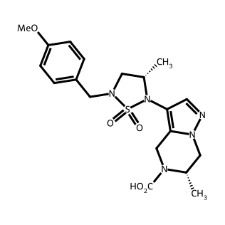 COc1ccc(CN2C[C@H](C)N(c3cnn4c3CN(C(=O)O)[C@@H](C)C4)S2(=O)=O)cc1